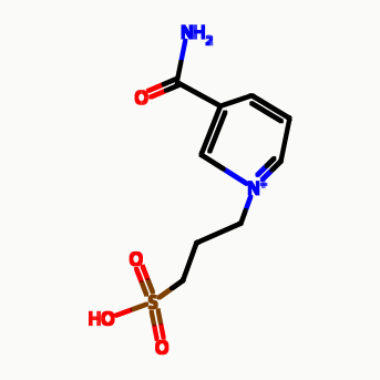 NC(=O)c1ccc[n+](CCCS(=O)(=O)O)c1